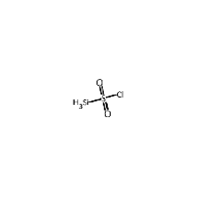 O=S(=O)([SiH3])Cl